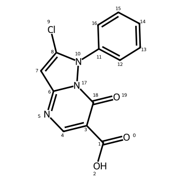 O=C(O)c1cnc2cc(Cl)n(-c3ccccc3)n2c1=O